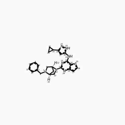 c1ccc(CN2C[C@@H]3C[C@H]2CN3c2nc(Nc3cc(C4CC4)n[nH]3)c3sccc3n2)cc1